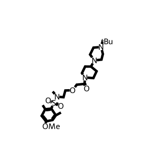 COc1cc(C)c(S(=O)(=O)N(C)CCOCC(=O)N2CCC(N3CCN(C(C)(C)C)CC3)CC2)c(C)c1